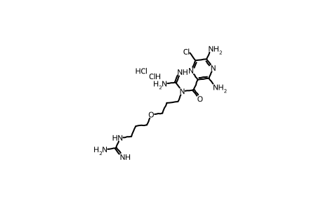 Cl.Cl.N=C(N)NCCCOCCCN(C(=N)N)C(=O)c1nc(Cl)c(N)nc1N